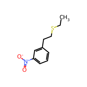 CCSCCc1cccc([N+](=O)[O-])c1